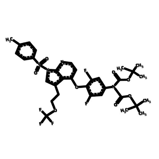 Cc1ccc(S(=O)(=O)n2cc(CCOC(F)(F)F)c3c(Oc4c(F)cc(N(C(=O)OC(C)(C)C)C(=O)OC(C)(C)C)cc4F)ccnc32)cc1